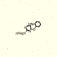 CCCCCCCc1ncc2c(n1)Oc1ccccc1N2